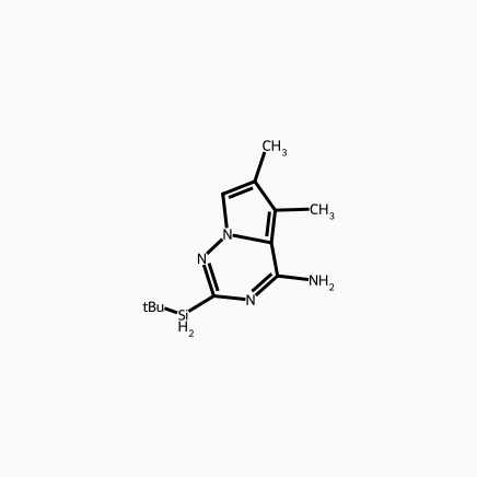 Cc1cn2nc([SiH2]C(C)(C)C)nc(N)c2c1C